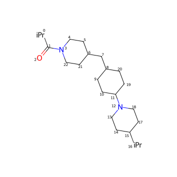 CC(C)C(=O)N1CCC(CC2CCC(N3CCC(C(C)C)CC3)CC2)CC1